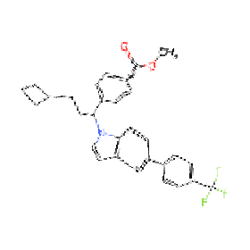 COC(=O)c1ccc(C(CCC2CCC2)n2ccc3cc(-c4ccc(C(F)(F)F)cc4)ccc32)cc1